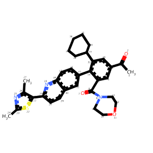 CC(=O)c1cc(C(=O)N2CCOCC2)c(-c2ccc3nc(-c4sc(C)nc4C)ccc3c2)c(C2CCCCC2)c1